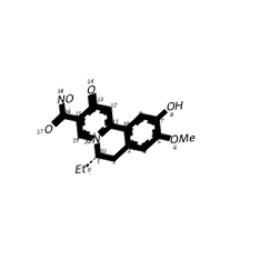 CC[C@H]1Cc2cc(OC)c(O)cc2-c2cc(=O)c(C(=O)N=O)cn21